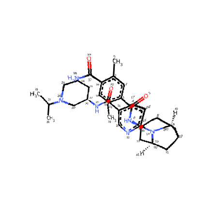 Cc1cc(C(=O)N[C@H]2C[C@H]3CC[C@@H](C2)N3c2ccc(C(=O)N[C@@H]3CCCN(C(C)C)C3)cn2)c(C)cc1C(N)=O